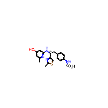 Cc1cc(O)cc(N[C@@H](Cc2ccc(NS(=O)(=O)O)cc2)c2csc(C)n2)n1